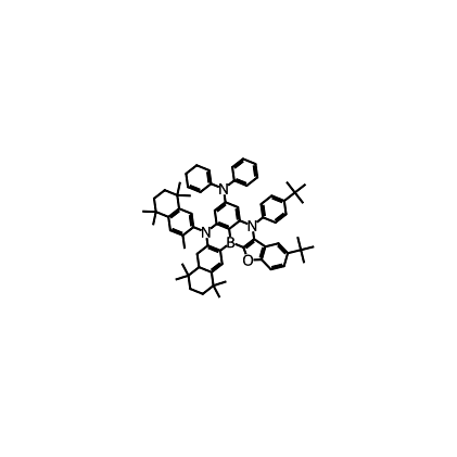 Cc1cc2c(cc1N1C3=C(C=C4C(C3)C(C)(C)CCC4(C)C)B3c4oc5ccc(C(C)(C)C)cc5c4N(c4ccc(C(C)(C)C)cc4)c4cc(N(C5=CCCC=C5)c5ccccc5)cc1c43)C(C)(C)CCC2(C)C